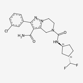 NC(=O)c1c(-c2cccc(Cl)c2)nn2c1CN(C(=O)N[C@H]1CC[C@H](C(F)F)C1)CC2